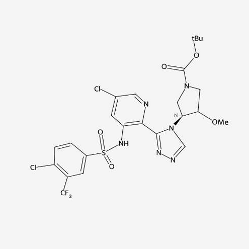 COC1CN(C(=O)OC(C)(C)C)C[C@@H]1n1cnnc1-c1ncc(Cl)cc1NS(=O)(=O)c1ccc(Cl)c(C(F)(F)F)c1